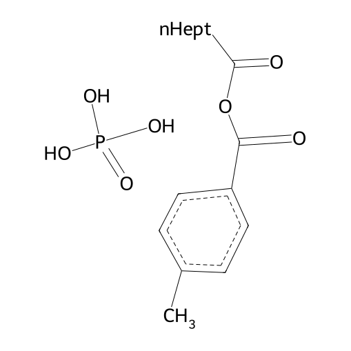 CCCCCCCC(=O)OC(=O)c1ccc(C)cc1.O=P(O)(O)O